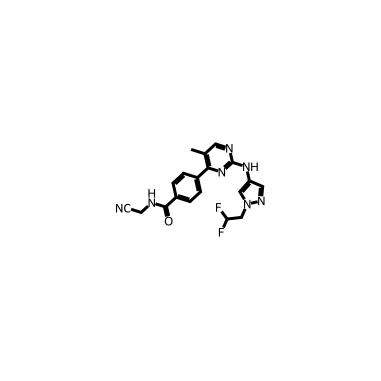 Cc1cnc(Nc2cnn(CC(F)F)c2)nc1-c1ccc(C(=O)NCC#N)cc1